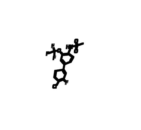 CS(=O)(=O)Nc1ccc(-c2ccc(Cl)c(F)c2)cc1OC(F)(F)F